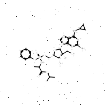 CC(C)OC(=O)C(C)NP(=O)(OC[C@H]1O[C@@H](n2cnc3c(NC4CC4)nc(N)nc32)[C@@](F)(CO)[C@@H]1O)Oc1ccccc1